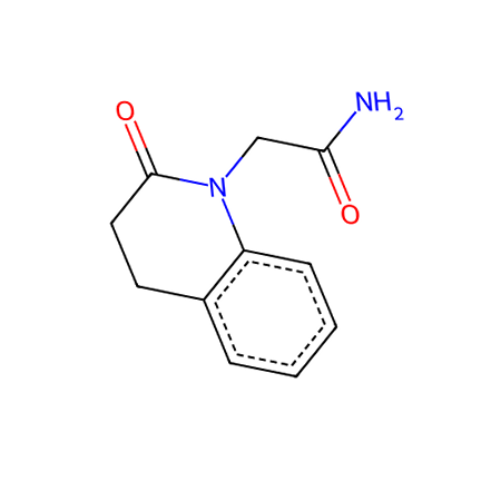 NC(=O)CN1C(=O)CCc2ccccc21